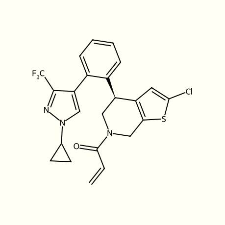 C=CC(=O)N1Cc2sc(Cl)cc2[C@H](c2ccccc2-c2cn(C3CC3)nc2C(F)(F)F)C1